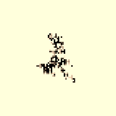 Cc1cc(=O)oc2cc(NC(=O)[C@H](CCCNC(=N)N)NC(=O)[C@@H](N)CCCCN)ccc12